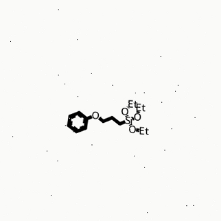 CCO[Si](CCCOc1cc[c]cc1)(OCC)OCC